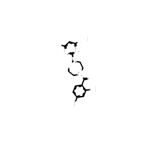 Cc1cc(C)nc(N2CCN(C(=O)c3ccc(Cl)cc3Cl)CCO2)n1